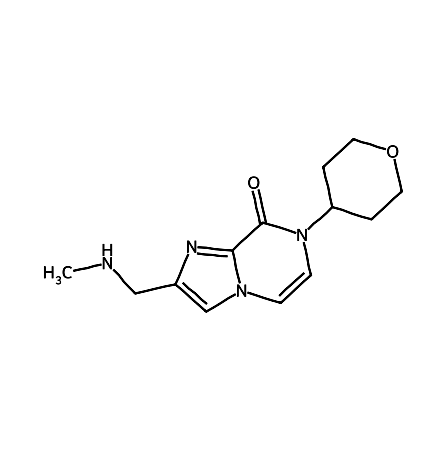 CNCc1cn2ccn(C3CCOCC3)c(=O)c2n1